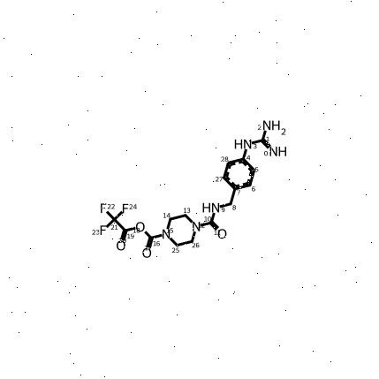 N=C(N)Nc1ccc(CNC(=O)N2CCN(C(=O)OC(=O)C(F)(F)F)CC2)cc1